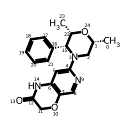 C[C@@H]1CN(c2cc3c(cn2)OCC(=O)N3)[C@H](c2ccccc2)[C@H](C)O1